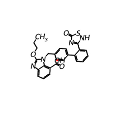 CCCOc1nc2cccc(C(=O)O)c2n1Cc1ccc(-c2ccccc2-c2nc(=O)s[nH]2)cc1